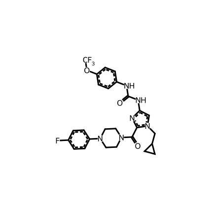 O=C(Nc1ccc(OC(F)(F)F)cc1)Nc1cn(CC2CC2)c(C(=O)N2CCN(c3ccc(F)cc3)CC2)n1